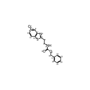 O=C(NCCc1nc2c[n+]([O-])ccc2s1)OCc1ccccc1